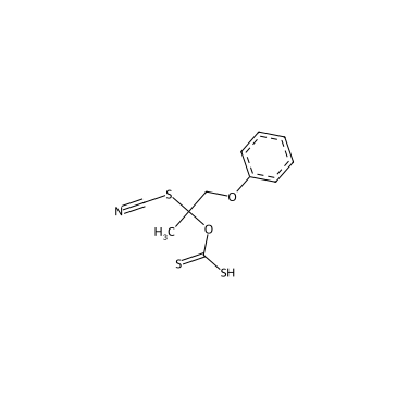 CC(COc1ccccc1)(OC(=S)S)SC#N